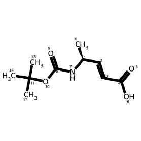 C[C@@H](/C=C/C(=O)O)NC(=O)OC(C)(C)C